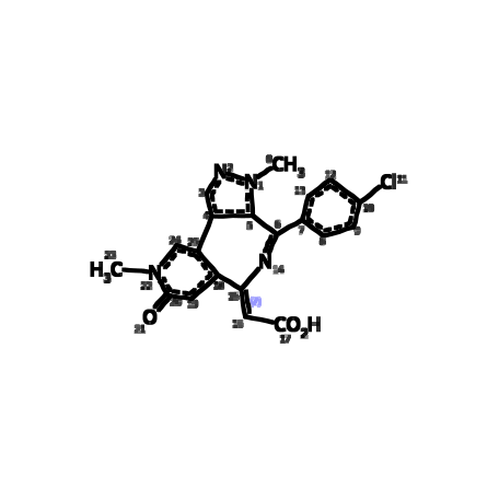 Cn1ncc2c1C(c1ccc(Cl)cc1)=N/C(=C\C(=O)O)c1cc(=O)n(C)cc1-2